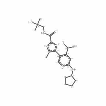 Cc1nc(C(=O)NCC(C)(C)O)sc1-c1cnc(NC2CCCC2)cc1C(F)F